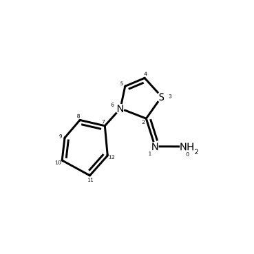 NN=c1sccn1-c1ccccc1